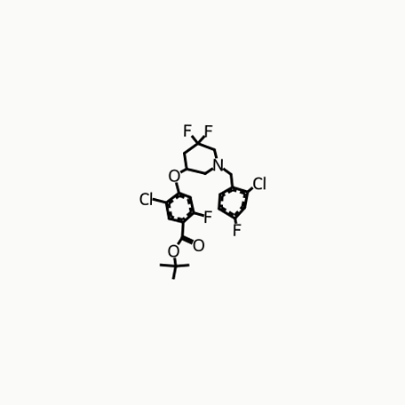 CC(C)(C)OC(=O)c1cc(Cl)c(OC2CN(Cc3ccc(F)cc3Cl)CC(F)(F)C2)cc1F